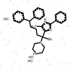 CCC(C)C(CCCC(c1ccccc1)c1ccccc1)(c1nc(-c2ccccc2)[nH]c1C)N1CCNCC1.Cl.Cl.Cl